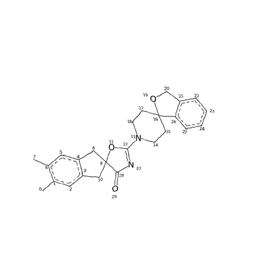 Cc1cc2c(cc1C)CC1(C2)OC(N2CCC3(CC2)OCc2ccccc23)=NC1=O